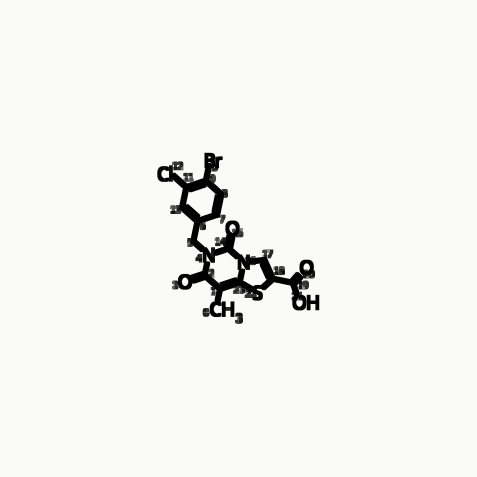 Cc1c(=O)n(Cc2ccc(Br)c(Cl)c2)c(=O)n2cc(C(=O)O)sc12